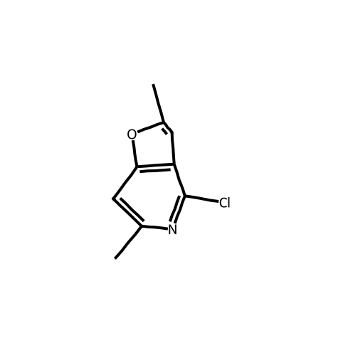 Cc1cc2oc(C)cc2c(Cl)n1